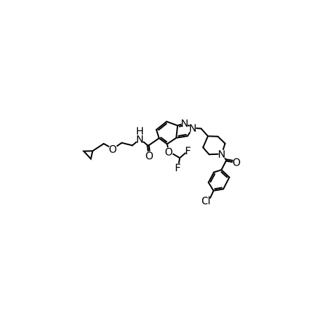 O=C(NCCOCC1CC1)c1ccc2nn(CC3CCN(C(=O)c4ccc(Cl)cc4)CC3)cc2c1OC(F)F